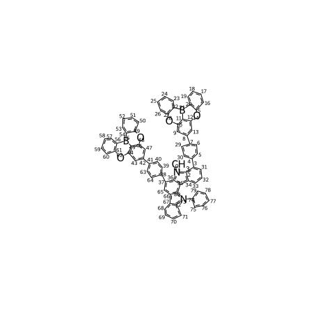 Cn1c2c(-c3ccc(-c4cc5c6c(c4)Oc4ccccc4B6c4ccccc4O5)cc3)cccc2c2c1c(-c1ccc(-c3cc4c5c(c3)Oc3ccccc3B5c3ccccc3O4)cc1)cc1c3ccccc3n(-c3ccccc3)c12